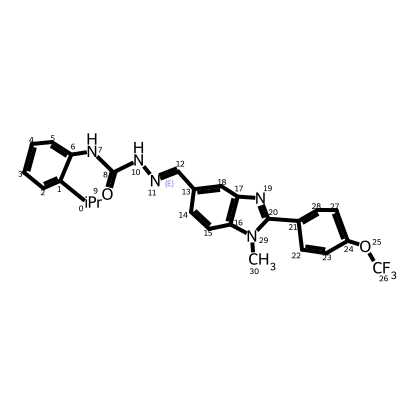 CC(C)c1ccccc1NC(=O)N/N=C/c1ccc2c(c1)nc(-c1ccc(OC(F)(F)F)cc1)n2C